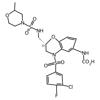 CC1CN(S(=O)(=O)NC[C@H]2CN(S(=O)(=O)c3ccc(F)c(Cl)c3)c3cc(NC(=O)O)ccc3O2)CCO1